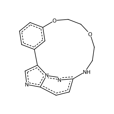 c1cc2cc(c1)-c1cnc3ccc(nn13)NCCOCCO2